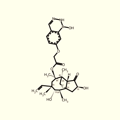 C=C[C@]1(C)C[C@@H](OC(=O)COc2ccc3c(c2)B(O)NN=C3)[C@]2(C)[C@H](C)CC[C@]3(C[C@H](O)C(=O)[C@H]32)[C@@H](C)[C@@H]1O